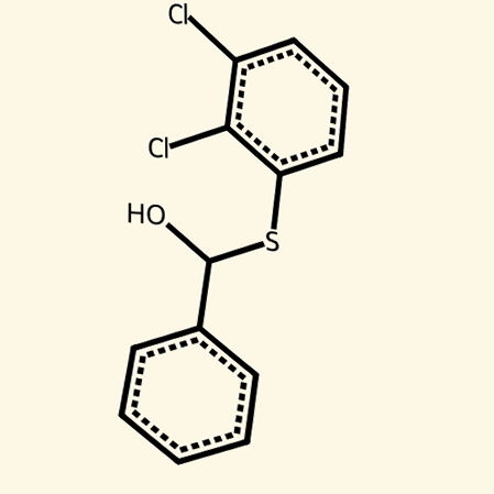 OC(Sc1cccc(Cl)c1Cl)c1ccccc1